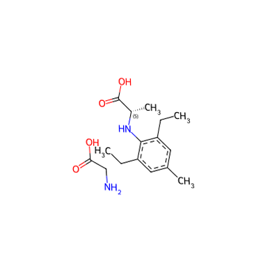 CCc1cc(C)cc(CC)c1N[C@@H](C)C(=O)O.NCC(=O)O